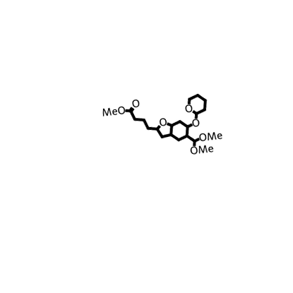 COC(=O)CCCC1CC2CC(C(OC)OC)C(OC3CCCCO3)CC2O1